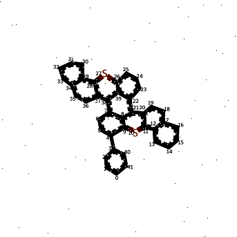 c1ccc(-c2ccc3c4c2sc2c5ccccc5ccc2c4c2cccc4sc5c6ccccc6ccc5c3c42)cc1